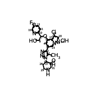 Cc1c(-c2cc(OC(CO)c3ccc(F)cn3)c3c(Cl)cnn3c2)nnn1[C@H]1CCNC[C@H]1O.Cl